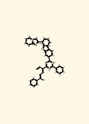 C=C/C(=C\C=C(/C)c1ccccc1)c1nc(-c2ccccc2)nc(-c2ccc3c(c2)oc2c(-c4cn5ccccc5n4)cccc23)n1